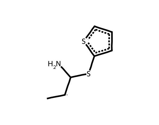 C[CH]C(N)Sc1cccs1